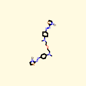 CC[n+]1ccsc1/N=N/c1ccc(N(C)CCOCCN(C)c2ccc(/N=N/c3scc[n+]3CC)cc2)cc1